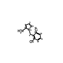 Nc1ccnn1Cc1c(Cl)cccc1Cl